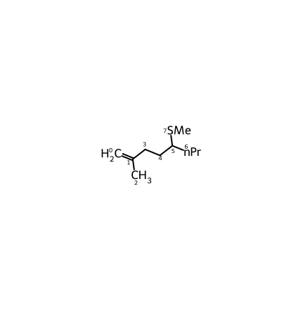 C=C(C)CCC(CCC)SC